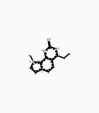 CCc1nc(=O)oc2c1ccc1ccn(C)c12